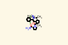 C/N=N\C(=C/C1[C@H](C(C)C)CC[C@]1(C)C(=O)N1CCC[C@H]1C(N)=O)c1c(F)cccc1F